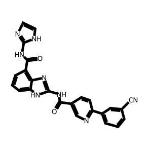 N#Cc1cccc(-c2ccc(C(=O)Nc3nc4c(C(=O)Nc5ncc[nH]5)cccc4[nH]3)cn2)c1